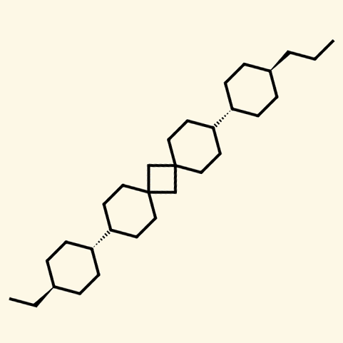 CCC[C@H]1CC[C@H](C2CCC3(CC2)CC2(CCC([C@H]4CC[C@H](CC)CC4)CC2)C3)CC1